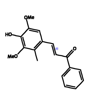 COc1cc(/C=C/C(=O)c2ccccc2)c(C)c(OC)c1O